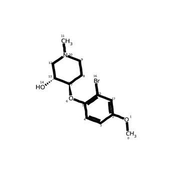 COc1ccc(O[C@@H]2CCN(C)C[C@H]2O)c(Br)c1